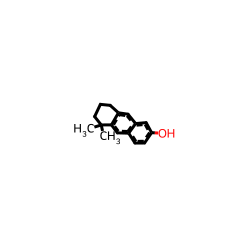 CC1(C)CCCc2cc3cc(O)ccc3cc21